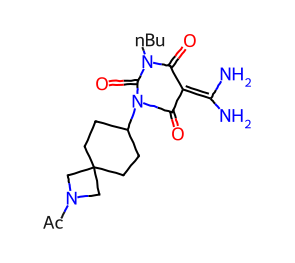 CCCCN1C(=O)C(=C(N)N)C(=O)N(C2CCC3(CC2)CN(C(C)=O)C3)C1=O